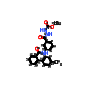 CC(C)(C)OC(=O)NNC(=O)c1cccc(NC(=O)c2ccccc2-c2ccc(C(F)(F)F)cc2)c1